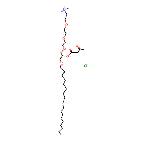 CCCCCCCCCCCCCCCCCCOCC(COCCOCCOCC[N+](C)(C)C)OC(=O)CC(C)=O.[Cl-]